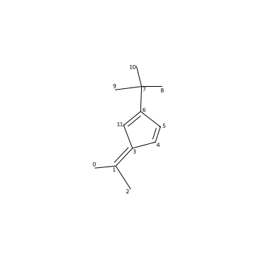 CC(C)=C1C=CC(C(C)(C)C)=C1